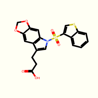 O=C(O)CCc1cn(S(=O)(=O)c2csc3ccccc23)c2cc3c(cc12)OCO3